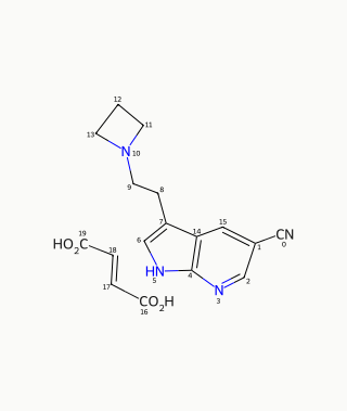 N#Cc1cnc2[nH]cc(CCN3CCC3)c2c1.O=C(O)/C=C/C(=O)O